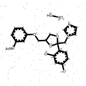 CC(=O)Nc1cccc(OCC2COC(Cn3ccnc3)(c3ccc(Cl)cc3Cl)O2)c1.O=[N+]([O-])O